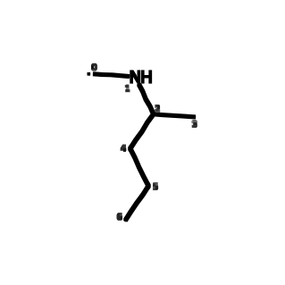 [CH2]NC(C)CCC